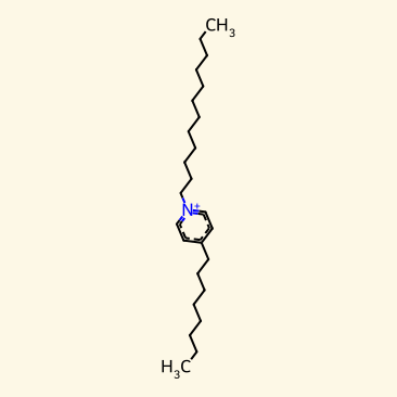 CCCCCCCCCCCC[n+]1ccc(CCCCCCCC)cc1